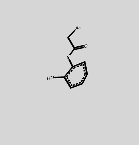 CC(=O)CC(=O)Sc1ccccc1O